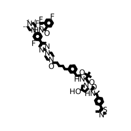 Cc1ncsc1-c1ccc([C@H](C)NC(=O)[C@@H]2C[C@@H](O)CN2C(=O)[C@@H](NC(=O)Cc2cccc(CCCCC(=O)N3CCN(c4ncc(-c5cc(NC(=O)c6ccc(F)cc6C(F)(F)F)c(N6C[C@@H](C)N(C)[C@@H](C)C6)cc5F)cn4)CC3)c2)C(C)(C)C)cc1